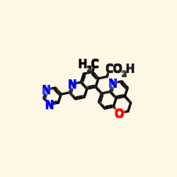 Cc1cc2nc(-c3cncnc3)ccc2c(-c2ccc3c4c(ccnc24)CCO3)c1CC(=O)O